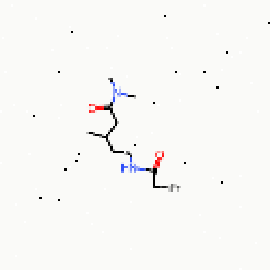 CC(C)CC(=O)NCCC(C)CC(=O)N(C)C